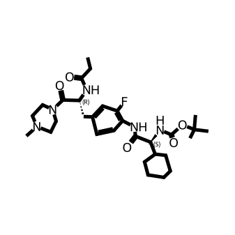 CCC(=O)N[C@H](Cc1ccc(NC(=O)[C@@H](NC(=O)OC(C)(C)C)C2CCCCC2)c(F)c1)C(=O)N1CCN(C)CC1